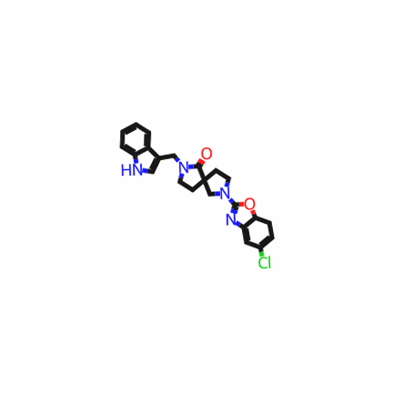 O=C1N(Cc2c[nH]c3ccccc23)CCC12CCN(C1=NC3=CC(Cl)=CCC3O1)C2